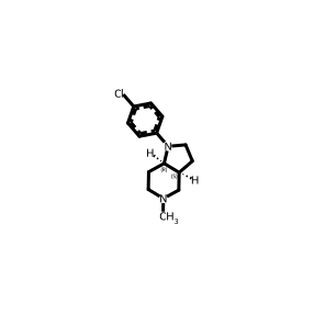 CN1CC[C@@H]2[C@@H](CCN2c2ccc(Cl)cc2)C1